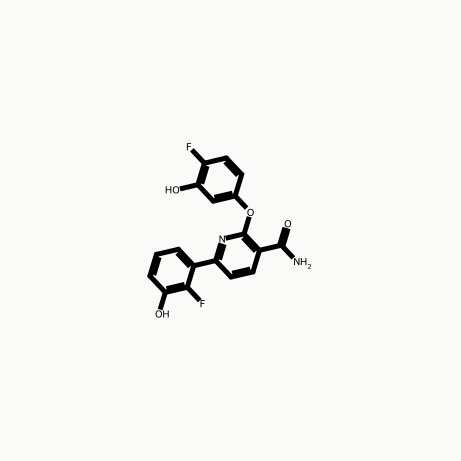 NC(=O)c1ccc(-c2cccc(O)c2F)nc1Oc1ccc(F)c(O)c1